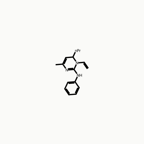 C=CN1C(Nc2ccccc2)=NC(C)=CC1CCC